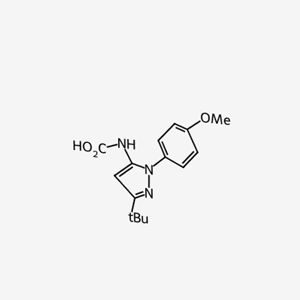 COc1ccc(-n2nc(C(C)(C)C)cc2NC(=O)O)cc1